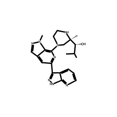 CC(C)[C@@H](O)[C@@]1(C)CN(c2nc(-c3n[nH]c4ncccc34)cc3cnn(C)c23)CCN1